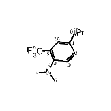 CC(C)c1ccc(N(C)C)c(C(F)(F)F)c1